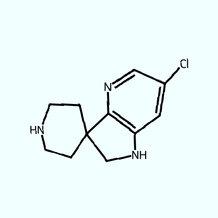 Clc1cnc2c(c1)NCC21CCNCC1